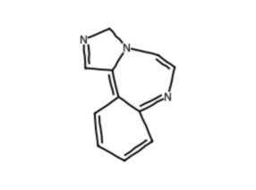 C1=CN2CN=CC2=c2ccccc2=N1